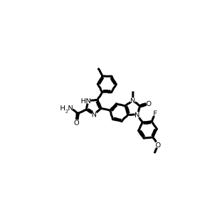 COc1ccc(-n2c(=O)n(C)c3cc(-c4nc(C(N)=O)[nH]c4-c4cccc(C)c4)ccc32)c(F)c1